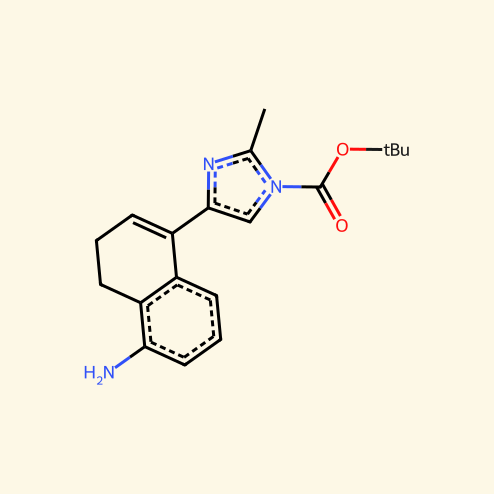 Cc1nc(C2=CCCc3c(N)cccc32)cn1C(=O)OC(C)(C)C